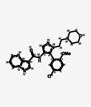 COc1ccc(Cl)cc1-c1c(NC(=O)c2cnn3cccnc23)cnn1CCN1CCOCC1